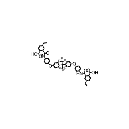 C=Cc1ccc(C(=O)O)c(C(=O)Nc2ccc(Oc3ccc(C(c4ccc(Oc5ccc(NC(=O)c6cc(C=C)ccc6C(=O)O)cc5)cc4)(C(F)(F)F)C(F)(F)F)cc3)cc2)c1